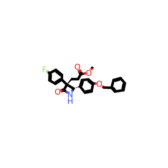 COC(=O)CC[C@]1(c2ccc(F)cc2)C(=O)N[C@H]1c1ccc(OCc2ccccc2)cc1